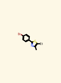 [CH2]Cc1sc(-c2ccc(Br)cc2)nc1C